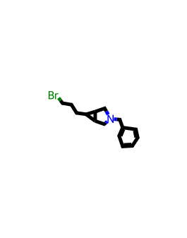 BrCCCC1C2CN(Cc3ccccc3)CC12